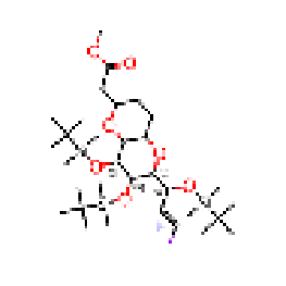 COC(=O)CC1CCC2O[C@@H]([C@H](/C=C/I)O[Si](C)(C)C(C)(C)C)[C@@H](O[Si](C)(C)C(C)(C)C)[C@@H](O[Si](C)(C)C(C)(C)C)C2O1